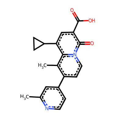 Cc1cc(-c2ccn3c(=O)c(C(=O)O)cc(C4CC4)c3c2C)ccn1